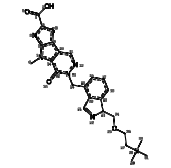 Cn1c2nc(C(=O)O)sc2c2cnn(Cc3cccc4c3C=NC4COCC[Si](C)(C)C)c(=O)c21